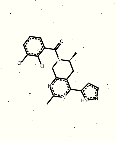 Cc1nc2c(c(-c3ccn[nH]3)n1)C[C@H](C)N(C(=O)c1cccc(Cl)c1Cl)C2